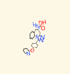 O=C(O)NC1Cc2ccccc2-n2c(nnc2C2CCC(Oc3ccccn3)CC2)C1